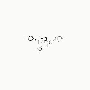 Cc1cc(Nc2nc(C(F)(F)c3ccc(F)cc3)nc3ccc(NS(=O)(=O)CCN4CCC(F)(F)CC4)n23)n[nH]1